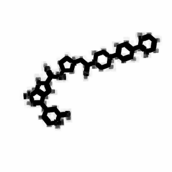 O=C(N[C@H]1CCN(CC(=O)N2CCN(c3ccc(-c4ncccn4)cc3)CC2)C1)c1cc2c(-c3cc[nH]c(=O)c3)n[nH]c2s1